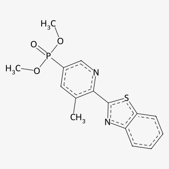 COP(=O)(OC)c1cnc(-c2nc3ccccc3s2)c(C)c1